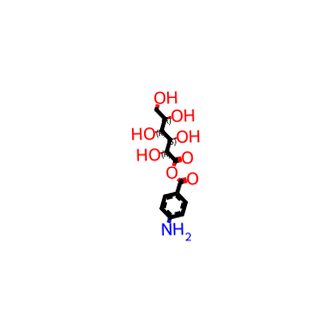 Nc1ccc(C(=O)OC(=O)[C@H](O)[C@@H](O)[C@H](O)[C@H](O)CO)cc1